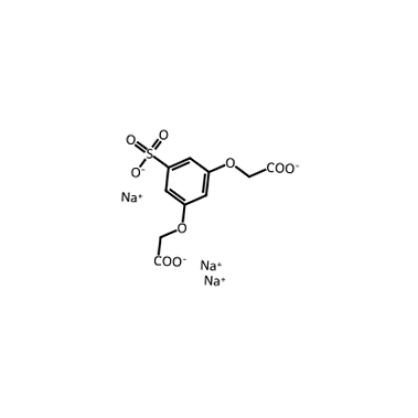 O=C([O-])COc1cc(OCC(=O)[O-])cc(S(=O)(=O)[O-])c1.[Na+].[Na+].[Na+]